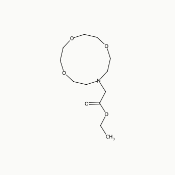 CCOC(=O)CN1CCOCCOCCOCC1